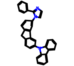 c1ccc(-c2nccn2-c2ccc3c(c2)-c2cc(-n4c5ccccc5c5ccccc54)ccc2C3)cc1